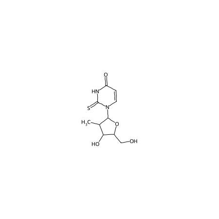 CC1C(O)C(CO)OC1n1ccc(=O)[nH]c1=S